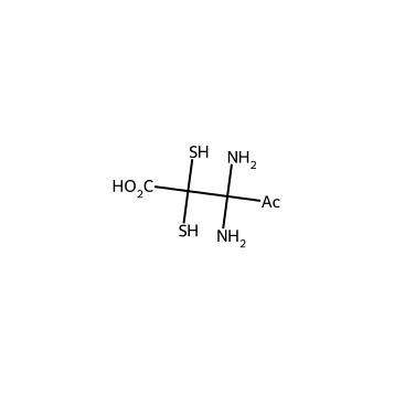 CC(=O)C(N)(N)C(S)(S)C(=O)O